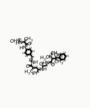 C/C(=C\C(NC(=O)CNC(=O)[C@@H](N(C)C)C(C)(C)c1ccccc1)C(C)C)C(=O)NOCc1ccc(NC(=O)[C@H](C)NC=O)cc1